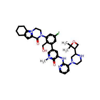 Cn1cc(-c2cc(F)cc(N3CCn4c(cc5c4CCCC5)C3=O)c2CO)cc(Nc2ncccc2N2CCNC(C3COC3(C)C)C2)c1=O